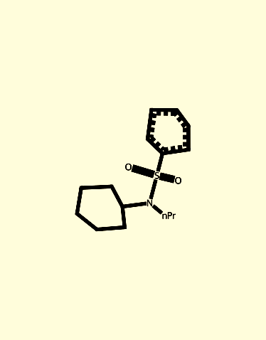 CCCN(C1CCCCC1)S(=O)(=O)c1ccccc1